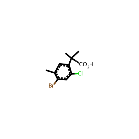 Cc1cc(C(C)(C)C(=O)O)c(Cl)cc1Br